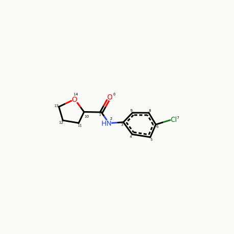 O=C(Nc1ccc(Cl)cc1)C1CCCO1